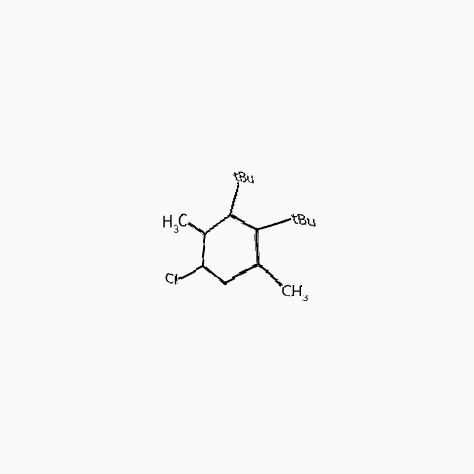 CC1CC(Cl)C(C)C(C(C)(C)C)C1C(C)(C)C